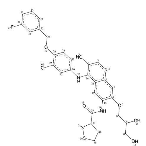 N#Cc1cnc2cc(OCC(O)CO)c(NC(=O)C3CCSS3)cc2c1Nc1ccc(OCc2cccc(F)c2)c(Cl)c1